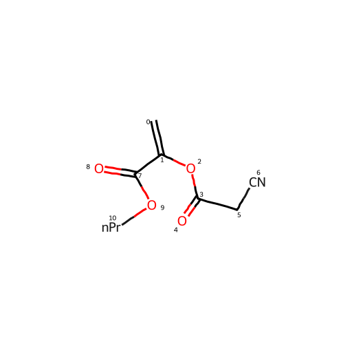 C=C(OC(=O)CC#N)C(=O)OCCC